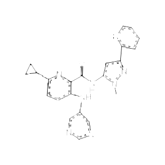 Cn1nc(-c2ccccn2)cc1NC(=O)c1nc(C2CC2)ccc1Nc1cncnc1